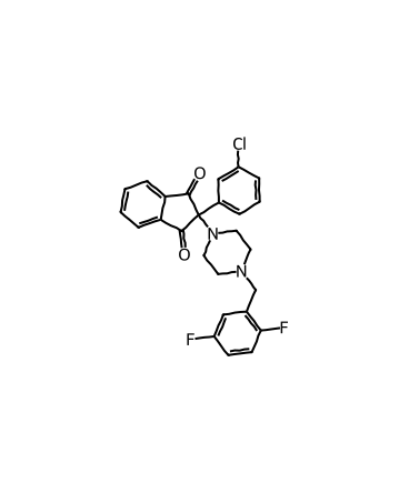 O=C1c2ccccc2C(=O)C1(c1cccc(Cl)c1)N1CCN(Cc2cc(F)ccc2F)CC1